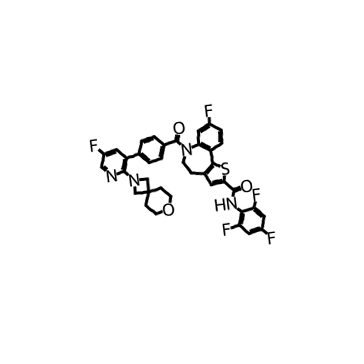 O=C(Nc1c(F)cc(F)cc1F)c1cc2c(s1)-c1ccc(F)cc1N(C(=O)c1ccc(-c3cc(F)cnc3N3CC4(CCOCC4)C3)cc1)CC2